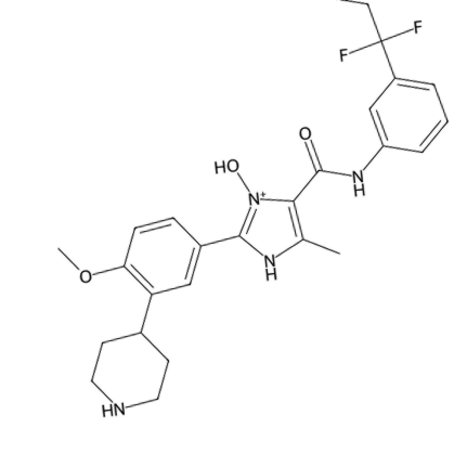 CCC(F)(F)c1cccc(NC(=O)c2c(C)[nH]c(-c3ccc(OC)c(C4CCNCC4)c3)[n+]2O)c1